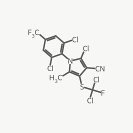 Cc1c(SC(F)(Cl)Cl)c(C#N)c(Cl)n1-c1c(Cl)cc(C(F)(F)F)cc1Cl